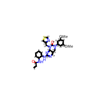 C=CC(=O)Nc1ccccc1Nc1ncc2c(n1)N(Cc1cscn1)C(=O)N(c1cc(OC)cc(OC)c1)C2